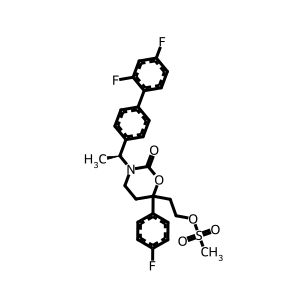 C[C@@H](c1ccc(-c2ccc(F)cc2F)cc1)N1CCC(CCOS(C)(=O)=O)(c2ccc(F)cc2)OC1=O